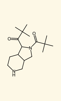 CC(C)(C)C(=O)C1C2CCNCC2CN1C(=O)C(C)(C)C